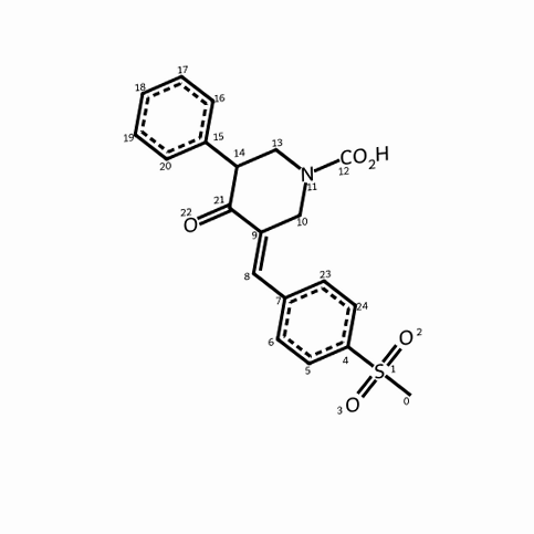 CS(=O)(=O)c1ccc(C=C2CN(C(=O)O)CC(c3ccccc3)C2=O)cc1